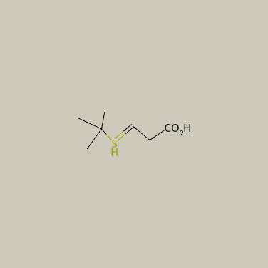 CC(C)(C)[SH]=CCC(=O)O